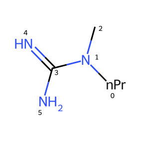 CCCN(C)C(=N)N